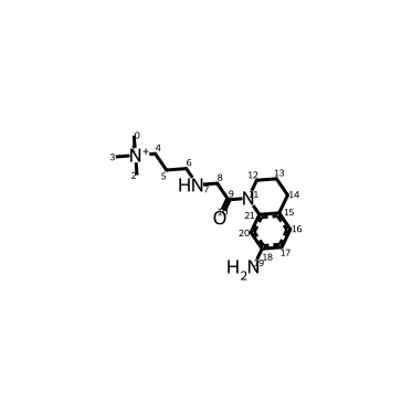 C[N+](C)(C)CCCNCC(=O)N1CCCc2ccc(N)cc21